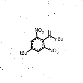 CCCCNc1c([N+](=O)[O-])cc(C(C)(C)C)cc1[N+](=O)[O-]